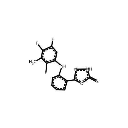 Cc1c(F)c(F)cc(Nc2ccccc2-c2n[nH]c(=S)o2)c1F